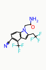 N#Cc1ccc2c(cc(CC(F)(F)F)n2CC(N)=O)c1C(F)(F)F